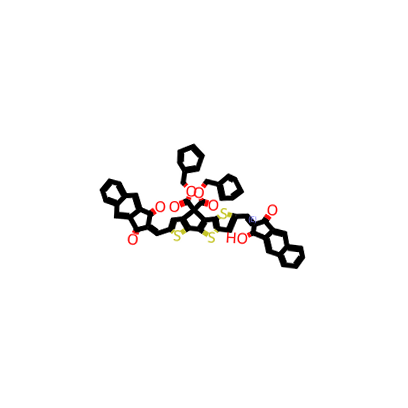 O=C1C(=Cc2cc3c(s2)-c2sc4cc(/C=C5/C(=O)c6cc7ccccc7cc6C5O)sc4c2C3(C(=O)OCc2ccccc2)C(=O)OCc2ccccc2)C(=O)c2cc3ccccc3cc21